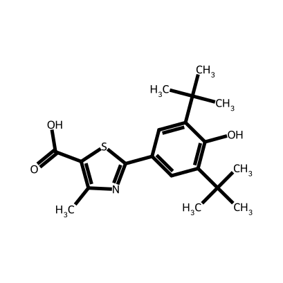 Cc1nc(-c2cc(C(C)(C)C)c(O)c(C(C)(C)C)c2)sc1C(=O)O